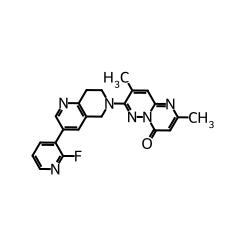 Cc1cc(=O)n2nc(N3CCc4ncc(-c5cccnc5F)cc4C3)c(C)cc2n1